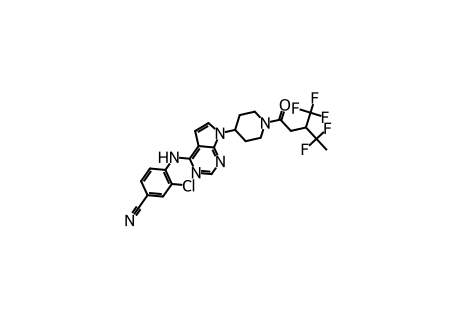 CC(F)(F)C(CC(=O)N1CCC(n2ccc3c(Nc4ccc(C#N)cc4Cl)ncnc32)CC1)C(F)(F)F